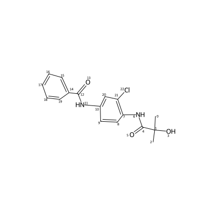 CC(C)(O)C(=O)Nc1ccc(NC(=O)c2ccccc2)cc1Cl